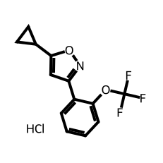 Cl.FC(F)(F)Oc1ccccc1-c1cc(C2CC2)on1